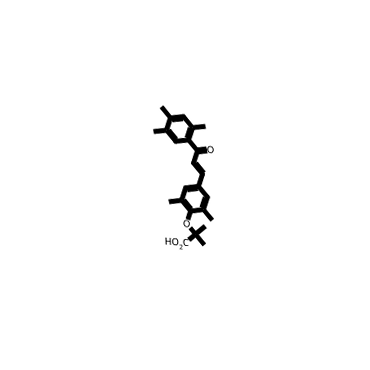 Cc1cc(C)c(C(=O)/C=C/c2cc(C)c(OC(C)(C)C(=O)O)c(C)c2)cc1C